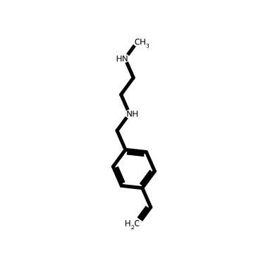 C=Cc1ccc(CNCCNC)cc1